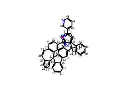 CC1(C)c2ccccc2-c2cc3c(cc21)-c1ccccc1C31c2ccccc2C=Cc2ccc(-c3nc(-c4ccccc4)cc(-c4cccnc4)n3)cc21